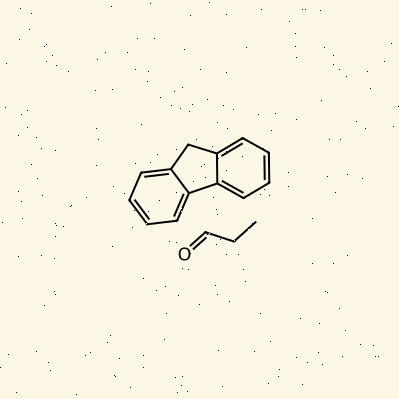 CCC=O.c1ccc2c(c1)Cc1ccccc1-2